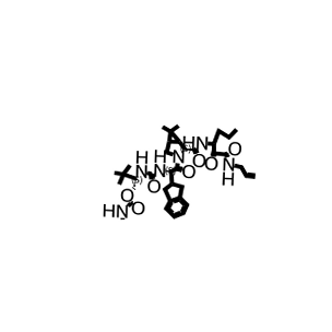 C=CCNC(=O)C(=O)C(CCC)NC(=O)[C@@H]1C2C(CN1C(=O)[C@@H](NC(=O)N[C@H](COC(=O)NC)C(C)(C)C)C1Cc3ccccc3C1)C2(C)C